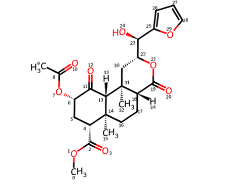 COC(=O)[C@@H]1C[C@H](OC(C)=O)C(=O)[C@H]2[C@@]1(C)CC[C@H]1C(=O)O[C@@H]([C@@H](O)c3ccco3)C[C@]21C